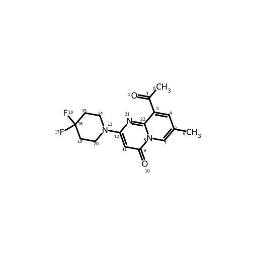 CC(=O)c1cc(C)cn2c(=O)cc(N3CCC(F)(F)CC3)nc12